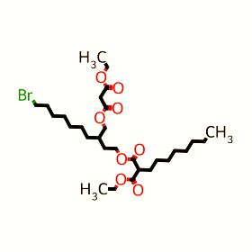 CCCCCCCCC(C(=O)OCC)C(=O)OCCC(CCCCCCCBr)COC(=O)CC(=O)OCC